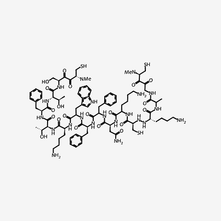 CN[C@@H](CS)C(=O)C(=O)CNC(=O)C(C)NC(=O)[C@H](CCCCN)NN[C@@H](CS)C(=O)NC(CCCCN)C(=O)N[C@@H](CC(N)=O)C(=O)NC(Cc1ccccc1)C(=O)N[C@@H](Cc1ccccc1)C(=O)NC(Cc1c[nH]c2ccccc12)C(=O)N[C@@H](CCCCN)C(=O)N[C@H](C(=O)N[C@@H](Cc1ccccc1)C(=O)N[C@H](C(=O)N[C@@H](CO)C(=O)C(=O)[C@H](CS)NC)[C@@H](C)O)[C@@H](C)O